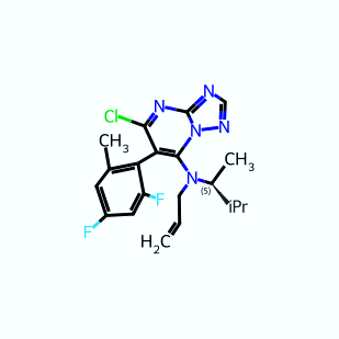 C=CCN(c1c(-c2c(C)cc(F)cc2F)c(Cl)nc2ncnn12)[C@@H](C)C(C)C